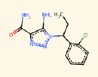 CCC(c1ccccc1Cl)n1nnc(C(N)=O)c1N